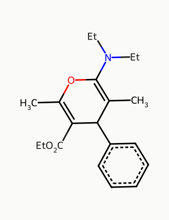 CCOC(=O)C1=C(C)OC(N(CC)CC)=C(C)C1c1ccccc1